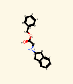 O=C(CNC1Cc2ccccc2C1)OCc1ccccc1